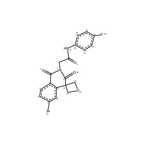 O=C(CN1C(=O)c2ccc(Br)cc2C2(COC2)C1=O)Nc1ncc(F)cn1